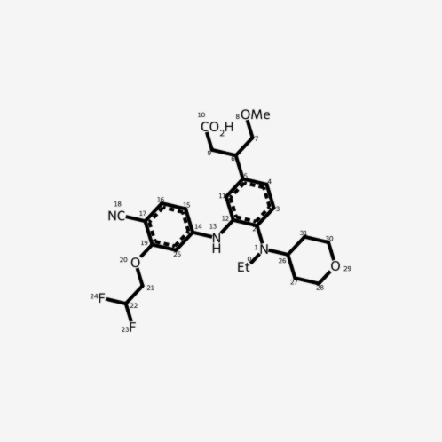 CCN(c1ccc(C(COC)CC(=O)O)cc1Nc1ccc(C#N)c(OCC(F)F)c1)C1CCOCC1